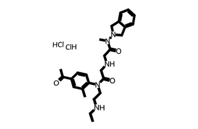 CCNCCN(C(=O)CNCC(=O)N(C)N1Cc2ccccc2C1)c1ccc(C(C)=O)cc1C.Cl.Cl